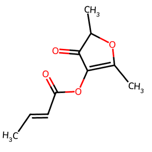 CC=CC(=O)OC1=C(C)OC(C)C1=O